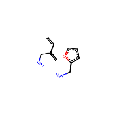 C=CC(=C)CN.NCc1ccco1